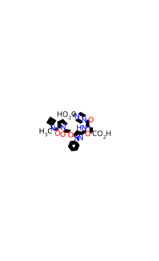 CN(C(=O)[C@@H]1CCCN1C(=O)COc1cc(C(=O)N[C@@H](CCC(=O)O)C(=O)N2CCN(C(=O)O)CC2)nn1-c1ccccc1)C1CCC1